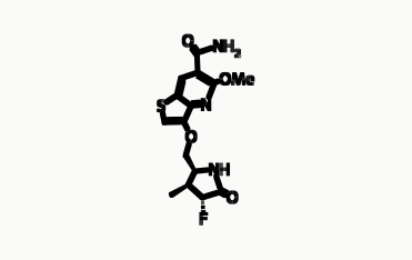 COc1nc2c(OC[C@H]3NC(=O)[C@H](F)[C@H]3C)csc2cc1C(N)=O